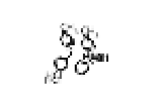 CN1CC2CC1CN2Cc1ccccc1.CN1CC2CC1CN2Cc1ccccc1.Cl.Cl.Cl.Cl.O